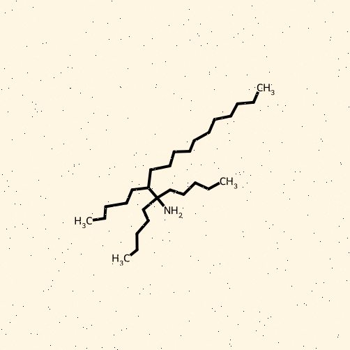 CCCCCCCCCCCC(CCCCC)C(N)(CCCCC)CCCCC